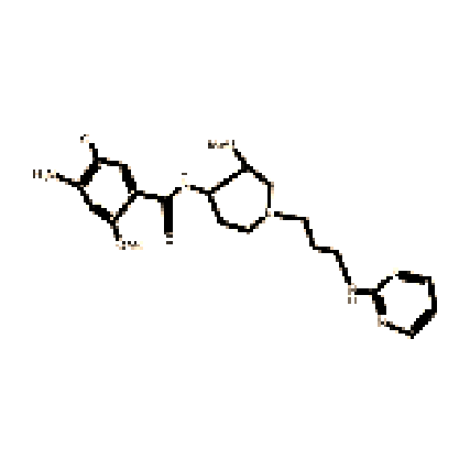 COc1cc(N)c(Cl)cc1C(=O)NC1CCN(CCCNc2ncccn2)CC1OC